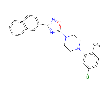 Cc1ccc(Cl)cc1N1CCN(c2nc(-c3ccc4ccccc4c3)no2)CC1